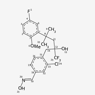 COc1ccc(F)cc1C(C)(C)CC(O)(Cc1ccc(C=NO)cc1Cl)C(F)(F)F